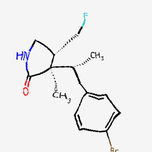 C[C@H](c1ccc(Br)cc1)[C@@]1(C)C(=O)NC[C@@H]1CF